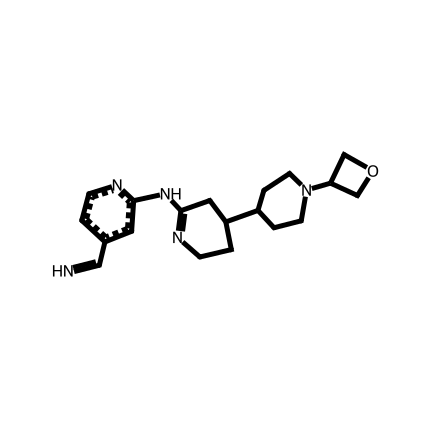 N=Cc1ccnc(NC2=NCCC(C3CCN(C4COC4)CC3)C2)c1